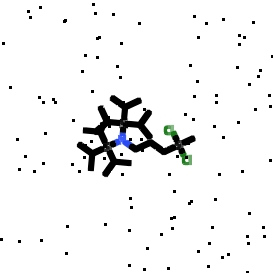 CC(C)[Si](C(C)C)(C(C)C)N(CCC[Si](C)(Cl)Cl)[Si](C(C)C)(C(C)C)C(C)C